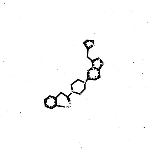 COc1ccccc1CC(=O)N1CCN(c2ccc3nnc(Cc4cccs4)n3n2)CC1